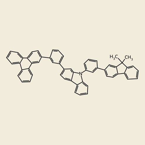 CC1(C)c2ccccc2-c2ccc(-c3cccc(-n4c5ccccc5c5ccc(-c6cccc(-c7ccc8c9ccccc9c9ccccc9c8c7)c6)cc54)c3)cc21